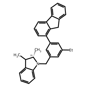 CCc1cc(CN2c3ccccc3C(C)[C@@H]2C)cc(-c2cccc3c2Cc2ccccc2-3)c1